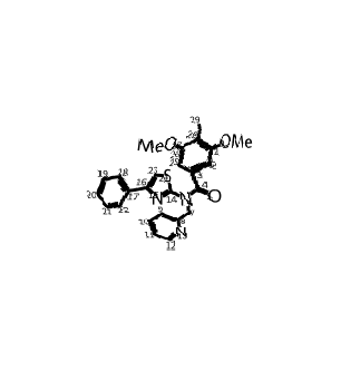 COc1cc(C(=O)N(Cc2ccccn2)c2nc(-c3ccccc3)cs2)cc(OC)c1C